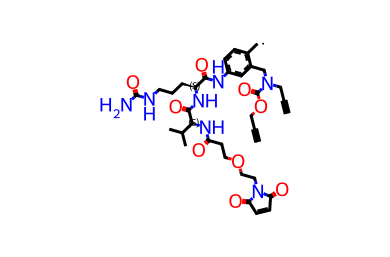 C#CCOC(=O)N(CC#C)Cc1cc(NC(=O)[C@H](CCCNC(N)=O)NC(=O)[C@@H](NC(=O)CCOCCN2C(=O)C=CC2=O)C(C)C)ccc1[CH2]